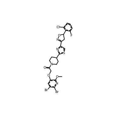 COc1nc(Br)c(Br)cc1OCC(=O)N1CCC(c2nc(C3=NOC(c4c(F)cccc4Cl)C3)cs2)CC1